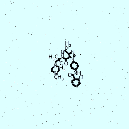 CN1CCN(CC(C)(C)NC(=O)c2c(C(N)=O)ncn2-c2ccc(NC(=O)c3ccccc3Cl)cc2)CC1